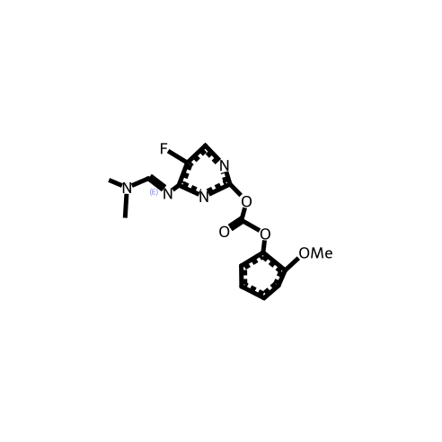 COc1ccccc1OC(=O)Oc1ncc(F)c(/N=C/N(C)C)n1